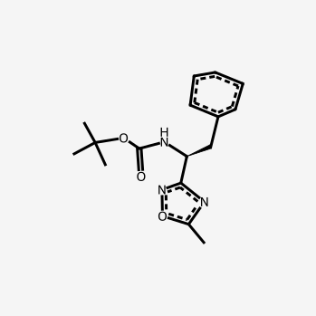 Cc1nc([C@H](Cc2ccccc2)NC(=O)OC(C)(C)C)no1